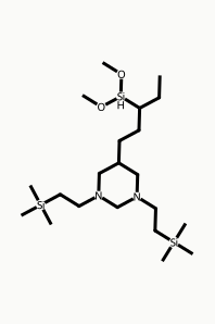 CCC(CCC1CN(CC[Si](C)(C)C)CN(CC[Si](C)(C)C)C1)[SiH](OC)OC